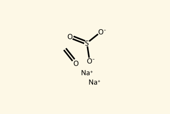 C=O.O=S([O-])[O-].[Na+].[Na+]